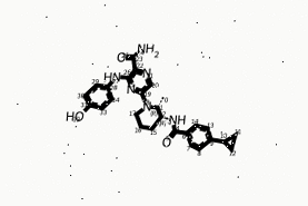 C[C@@H]1[C@H](NC(=O)c2ccc(C3CC3)cc2)CCCN1c1cnc(C(N)=O)c(Nc2ccc(O)cc2)n1